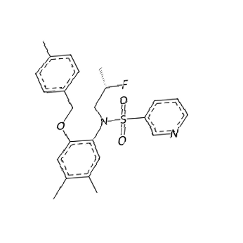 Cc1ccc(COc2cc(C)c(C)cc2N(C[C@H](C)F)S(=O)(=O)c2cccnc2)cc1